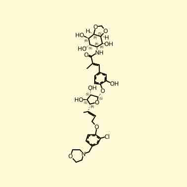 CC(=Cc1ccc(O[C@@H]2O[C@H](C(C)=CCOc3ccc(CN4CCOCC4)cc3Cl)[C@@H](O)[C@@H]2O)c(O)c1)C(=O)N[C@@H]1[C@H](O)[C@@H](O)[C@H]2OCO[C@H]2[C@@H]1O